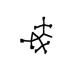 CC(C(F)(F)F)C1(C(F)(F)F)CC1(Br)Br